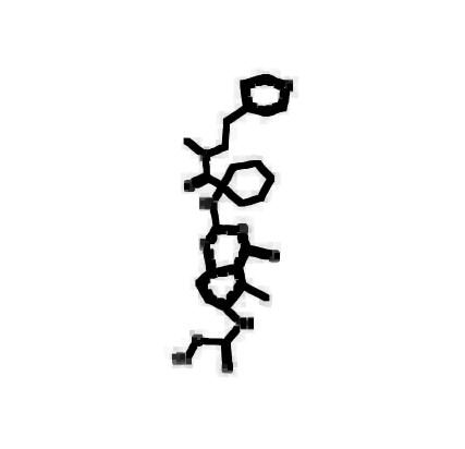 Cc1c(NC(=O)OC(C)(C)C)ccc2nc(NC3(C(=O)N(C)CCc4ccncc4)CCCCC3)oc(=O)c12